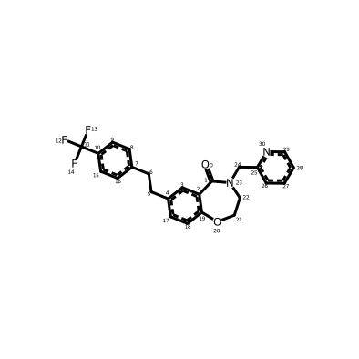 O=C1c2cc(CCc3ccc(C(F)(F)F)cc3)ccc2OCCN1Cc1ccccn1